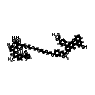 C=CC(=O)N1CCN(c2nc(O[C@H](C)CN3CCC(OCCOCCOCCOCCOCC(=O)N[C@H](C(=O)N4CCC[C@H]4C(=O)N[C@@H](C)c4ccc(-c5scnc5C)cc4)C(C)(C)C)CC3)nc3c(F)c(-c4cc(O)cc5ccccc45)c(Cl)cc23)CC1